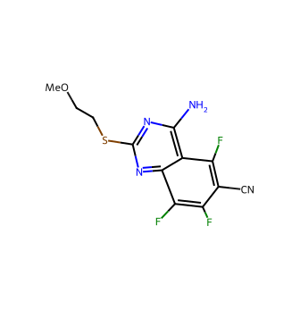 COCCSc1nc(N)c2c(F)c(C#N)c(F)c(F)c2n1